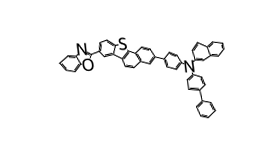 c1ccc(-c2ccc(N(c3ccc(-c4ccc5c(ccc6c7cc(-c8nc9ccccc9o8)ccc7sc56)c4)cc3)c3ccc4ccccc4c3)cc2)cc1